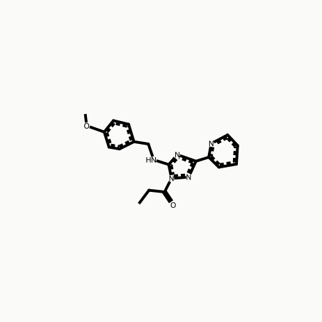 CCC(=O)n1nc(-c2ccccn2)nc1NCc1ccc(OC)cc1